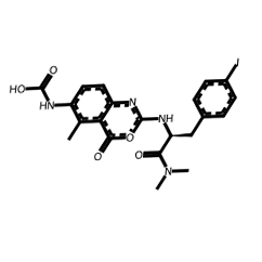 Cc1c(NC(=O)O)ccc2nc(N[C@@H](Cc3ccc(I)cc3)C(=O)N(C)C)oc(=O)c12